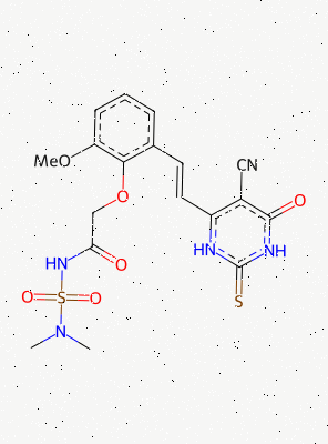 COc1cccc(C=Cc2[nH]c(=S)[nH]c(=O)c2C#N)c1OCC(=O)NS(=O)(=O)N(C)C